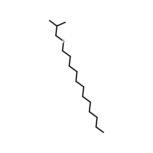 CCCCCCCCCCCCSCC(C)C